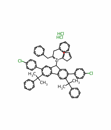 CC(C)(c1ccccc1)c1cc2c(cc1-c1ccc(Cl)cc1)[CH]([Zr]([C]1=CC=CC1)=[C](Cc1ccccc1)Cc1ccccc1)c1cc(-c3ccc(Cl)cc3)c(C(C)(C)c3ccccc3)cc1-2.Cl.Cl